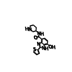 O=C(NC1CCCNC1)c1ccc(O)c2[nH]c(-c3cccs3)nc12